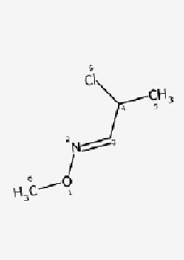 CO/N=C/C(C)Cl